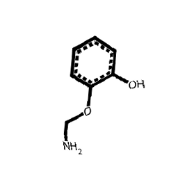 NCOc1ccccc1O